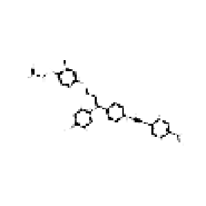 Cc1cc(OCC=C(c2ccc(Br)cc2)c2ccc(C#Cc3ccc(CO)cc3)cc2)ccc1OCC(=O)O